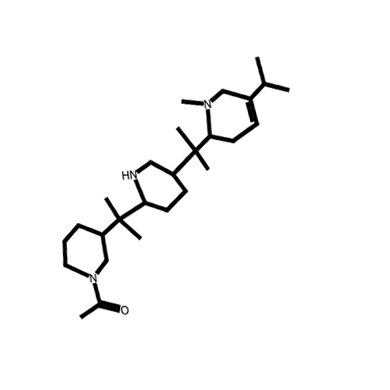 CC(=O)N1CCCC(C(C)(C)C2CCC(C(C)(C)C3CC=C(C(C)C)CN3C)CN2)C1